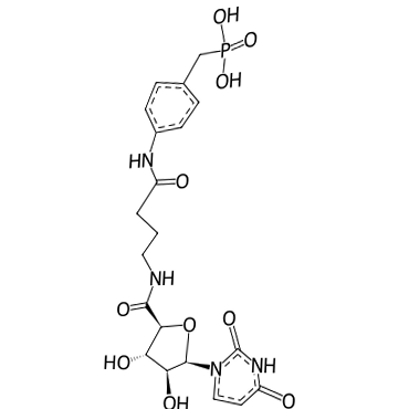 O=C(CCCNC(=O)[C@H]1O[C@@H](n2ccc(=O)[nH]c2=O)[C@@H](O)[C@@H]1O)Nc1ccc(CP(=O)(O)O)cc1